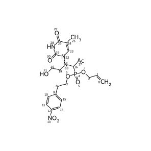 C=CCOP(=O)(OCCc1ccc([N+](=O)[O-])cc1)C(C(C)=O)N(CCO)n1cc(C)c(=O)[nH]c1=O